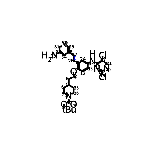 CC(C)(C)OC(=O)N1CCC(CCOc2ccc(Nc3nc(Cl)ncc3Cl)cc2/C=C/c2cncc(N)c2)CC1